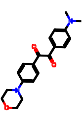 CN(C)c1ccc(C(=O)C(=O)c2ccc(N3CCOCC3)cc2)cc1